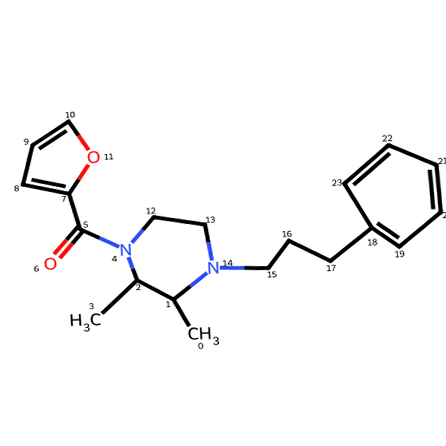 CC1C(C)N(C(=O)c2ccco2)CCN1CCCc1ccccc1